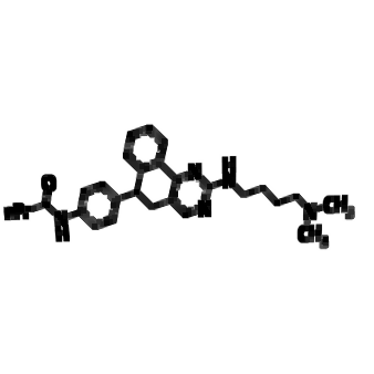 CCCC(=O)Nc1ccc(C2Cc3cnc(NCCCCN(C)C)nc3-c3ccccc32)cc1